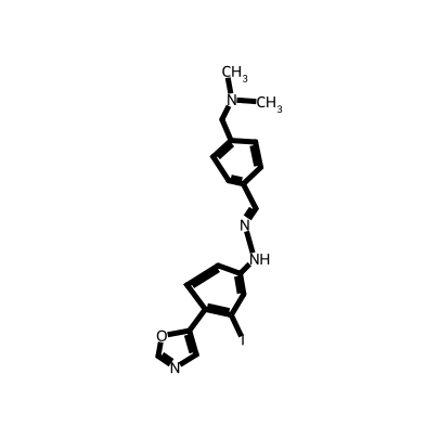 CN(C)Cc1ccc(C=NNc2ccc(-c3cnco3)c(I)c2)cc1